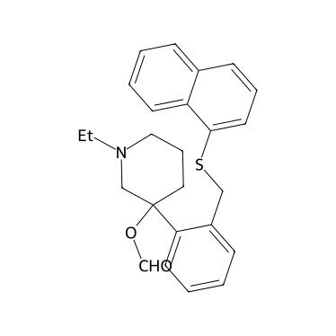 CCN1CCCC(OC=O)(c2ccccc2CSc2cccc3ccccc23)C1